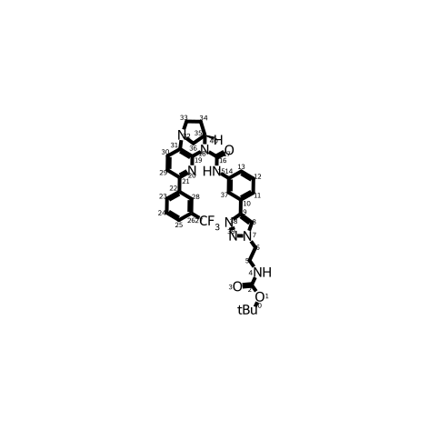 CC(C)(C)OC(=O)NCCn1cc(-c2cccc(NC(=O)N3c4nc(-c5cccc(C(F)(F)F)c5)ccc4N4CC[C@H]3C4)c2)nn1